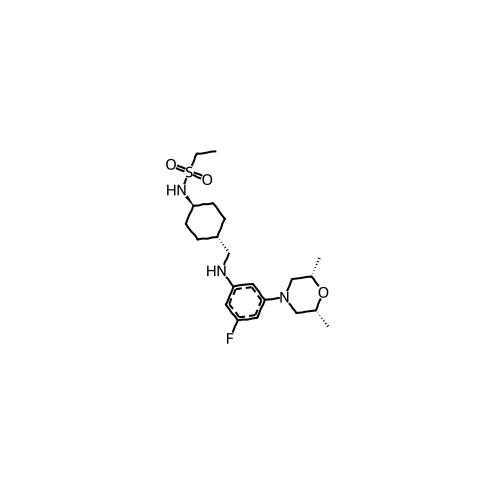 CCS(=O)(=O)N[C@H]1CC[C@H](CNc2cc(F)cc(N3C[C@@H](C)O[C@@H](C)C3)c2)CC1